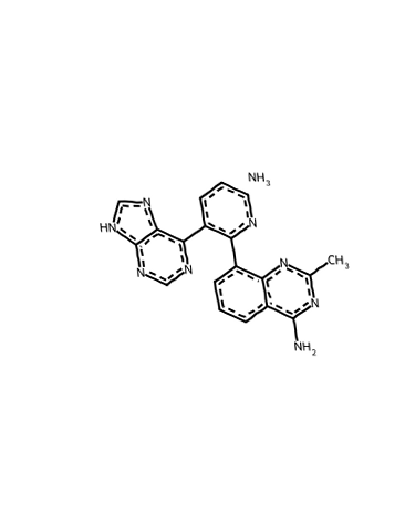 Cc1nc(N)c2cccc(-c3ncccc3-c3ncnc4[nH]cnc34)c2n1.N